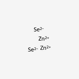 [Se-2].[Se-2].[Zn+2].[Zn+2]